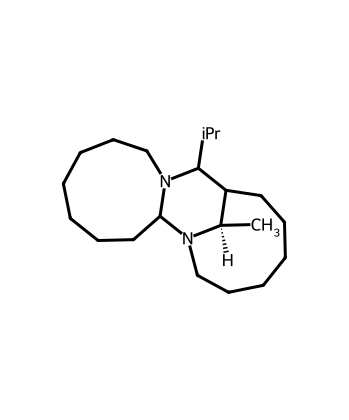 CC(C)C1C2CCCCCCN(C3CCCCCCCN13)[C@@H]2C